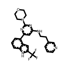 FC(F)(F)c1cc2c(-c3cc(NCCc4cccnc4)nc(N4CCOCC4)n3)cccc2[nH]1